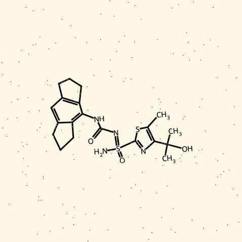 Cc1sc(S(N)(=O)=NC(=O)Nc2c3c(cc4c2CCC4)CCC3)nc1C(C)(C)O